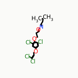 CC(C)CC=NOCCCOc1c(Cl)cc(OCC=C(Cl)Cl)cc1Cl